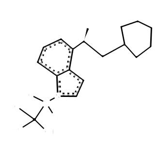 C[C@@H](CC1CCCCC1)c1cccc2c1ccn2[Si](C)(C)C(C)(C)C